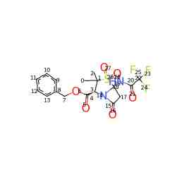 CC1(C)[C@H](C(=O)OCc2ccccc2)N2C(=O)CC2(NC(=O)C(F)(F)F)S1(=O)=O